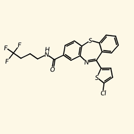 O=C(NCCCC(F)(F)F)c1ccc2c(c1)N=C(c1ccc(Cl)s1)c1ccccc1S2